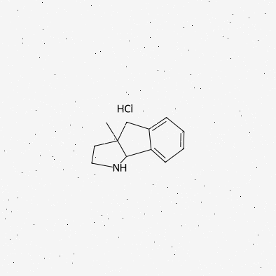 CC12CCNC1c1ccccc1C2.Cl